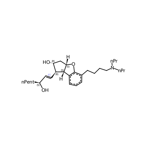 CCCCC[C@H](O)/C=C/[C@@H]1[C@H]2c3cccc(CCCCN(CCC)CCC)c3O[C@H]2C[C@H]1O